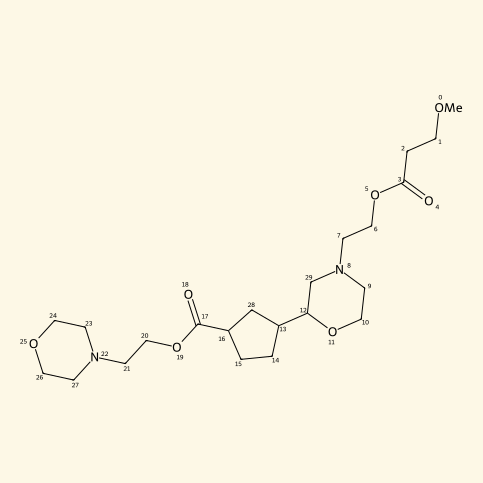 COCCC(=O)OCCN1CCOC(C2CCC(C(=O)OCCN3CCOCC3)C2)C1